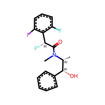 C[C@H]([C@H](O)c1ccccc1)N(C)C(=O)[C@H](F)c1c(F)cccc1I